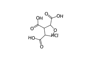 Cl.O=C(O)C1COC(C(=O)O)C1C(=O)O